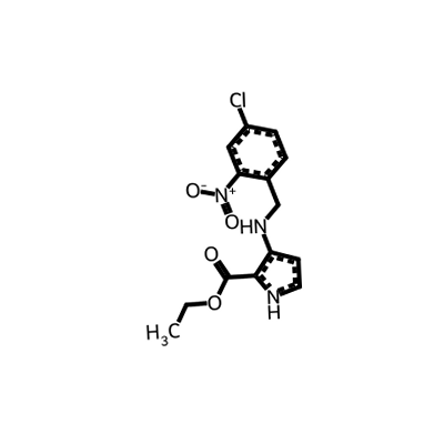 CCOC(=O)c1[nH]ccc1NCc1ccc(Cl)cc1[N+](=O)[O-]